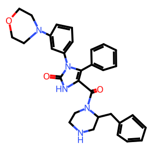 O=C(c1[nH]c(=O)n(-c2cccc(N3CCOCC3)c2)c1-c1ccccc1)N1CCNCC1Cc1ccccc1